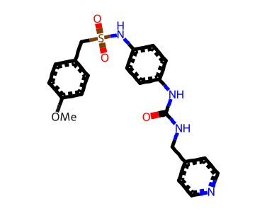 COc1ccc(CS(=O)(=O)Nc2ccc(NC(=O)NCc3ccncc3)cc2)cc1